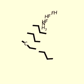 CCCC.CCCC.CCCC.CCCC.F.F.F.N